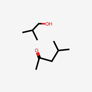 CC(=O)CC(C)C.CC(C)CO